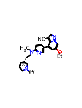 CCOc1cc(-c2ccc(N(C)CC[C@H]3CCCN(C(C)C)C3)nc2)c2c(C#N)cnn2c1